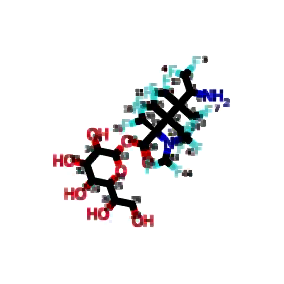 NC(C(F)F)C(C(F)F)(C(F)F)C(C(F)F)(C(F)F)[C@](C(=O)OC1OC(C(O)CO)C(O)C(O)C1O)(C(F)F)N(C(F)F)C(F)F